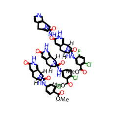 COC(=O)c1cc(NC(=O)N2[C@@H]3CC[C@H]2c2c[nH]c(=O)cc2C3)c(F)cc1Cl.COC(=O)c1cc(NC(=O)N2[C@@H]3CC[C@H]2c2c[nH]c(=O)cc2C3)ccc1Cl.COC(=O)c1ccc(NC(=O)N2[C@@H]3CC[C@H]2c2c[nH]c(=O)cc2C3)cc1Cl.NC(=O)n1c2ccc1-c1cnccc1C2